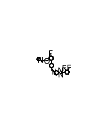 Fc1ccc(-c2ccc(Cn3ccc4nc(-c5cccc(F)c5F)nc-4c3)cc2)c(OCCn2cccc2)c1